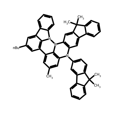 CCCCc1cc2c3c(c1)c1ccccc1n3B1c3cc4c(cc3N(c3ccc5c(c3)-c3ccccc3C5(C)C)c3cc(C)cc-2c31)-c1ccccc1C4(C)C